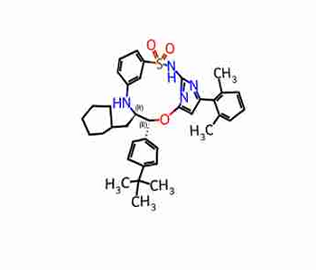 Cc1cccc(C)c1-c1cc2nc(n1)NS(=O)(=O)c1cccc(c1)N[C@H](CC1CCCCC1)[C@@H](c1ccc(C(C)(C)C)cc1)O2